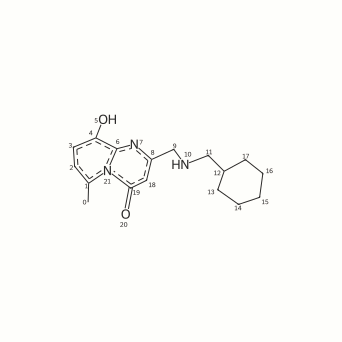 Cc1ccc(O)c2nc(CNCC3CCCCC3)cc(=O)n12